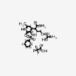 Cc1cc(C(CCONC(=N)N)C(N)=O)c(NS(=O)(=O)c2ccccn2)c(=O)[nH]1.O=C(O)C(F)(F)F